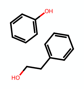 OCCc1ccccc1.Oc1ccccc1